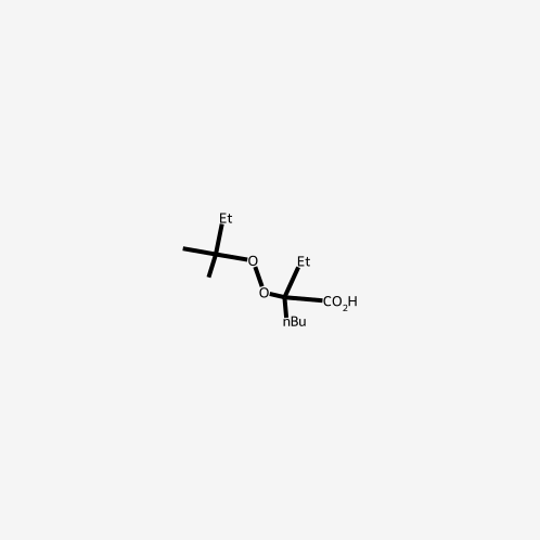 CCCCC(CC)(OOC(C)(C)CC)C(=O)O